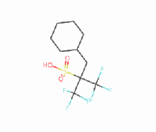 O=S(=O)(O)C(CC1CCCCC1)(C(F)(F)F)C(F)(F)F